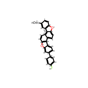 CCCCCCCCCCc1ccc2oc3ccc4c(ccc5oc6cc(-c7ccc(F)cc7)ccc6c54)c3c2c1